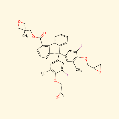 Cc1cc(C2(c3cc(C)c(OCC4CO4)c(I)c3)c3ccccc3-c3c(C(=O)OCC4(C)COC4)cccc32)cc(I)c1OCC1CO1